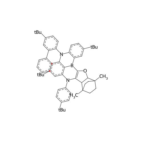 CC(C)(C)c1ccc(N2C3=C(OC4C3C3(C)CCC4(C)CC3)B3c4cc(C(C)(C)C)ccc4N(c4ccc(C(C)(C)C)cc4-c4ccccc4)c4cc(C(C)(C)C)cc2c43)cc1